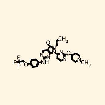 C=CCn1c(=O)c2cnc(Nc3ccc(OCC(F)(F)F)cc3)nc2n1-c1ccnc(OC2CCN(C)CC2)n1